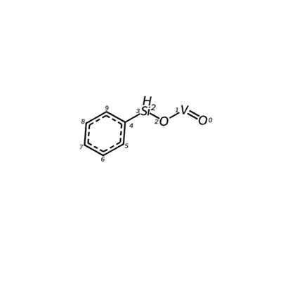 [O]=[V][O][SiH2]c1ccccc1